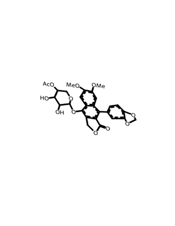 COc1cc2c(OC3OCC(OC(C)=O)C(O)C3O)c3c(c(-c4ccc5c(c4)OCO5)c2cc1OC)C(=O)OC3